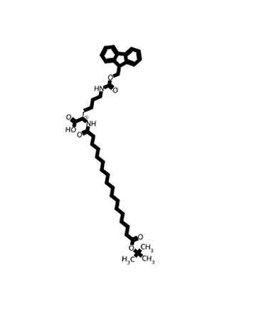 CC(C)(C)OC(=O)CCCCCCCCCCCCCCCCC(=O)N[C@@H](CCCCNC(=O)OCC1c2ccccc2-c2ccccc21)C(=O)O